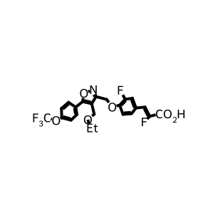 CCOCc1c(COc2ccc(C=C(F)C(=O)O)cc2F)noc1-c1ccc(OC(F)(F)F)cc1